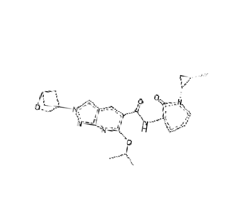 CC(C)Oc1nc2nn(C34COC(C3)C4)cc2cc1C(=O)Nc1cccn([C@@H]2C[C@@H]2C)c1=O